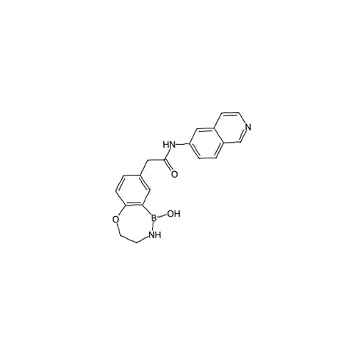 O=C(Cc1ccc2c(c1)B(O)NCCO2)Nc1ccc2cnccc2c1